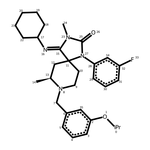 CC(C)Oc1cccc(CN2CCC3(C[C@@H]2C)/C(=N/C2CCCCC2)N(C)C(=O)N3c2cccc(F)c2)c1